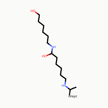 CCCCCCCC(C)NCCCCCC(O)NCCCCCCO